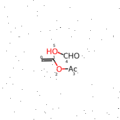 C=COC(C)=O.O=CO